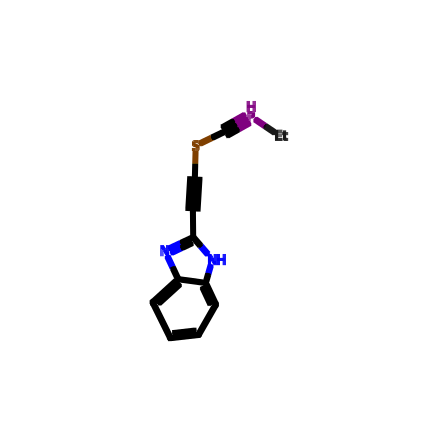 CC[PH]#CSC#Cc1nc2ccccc2[nH]1